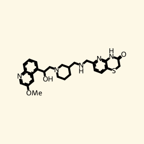 COc1cnc2cccc(C(O)CN3CCCC(CNCc4ccc5c(n4)NC(=O)CS5)C3)c2c1